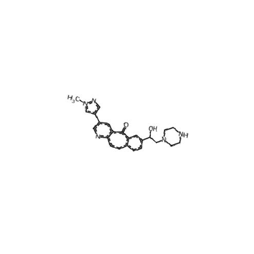 Cn1cc(-c2cnc3ccc4ccc(C(O)CN5CCNCC5)cc4c(=O)c3c2)cn1